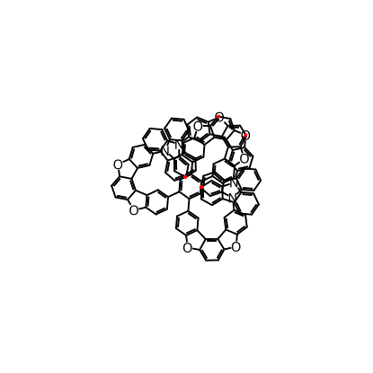 c1ccc2c(c1)c1ccccc1n2-c1ccc2oc3ccc4oc5ccc(-c6cc(-c7ccc8oc9ccc%10oc%11ccc(-n%12c%13ccccc%13c%13ccccc%13%12)cc%11c%10c9c8c7)c(-c7ccc8oc9ccc%10oc%11ccc(-n%12c%13ccccc%13c%13ccccc%13%12)cc%11c%10c9c8c7)cc6-c6ccc7oc8ccc9oc%10ccc(-n%11c%12ccccc%12c%12ccccc%12%11)cc%10c9c8c7c6)cc5c4c3c2c1